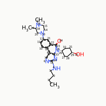 CCCCNc1ncc2c3ccc(N4CCN(C)C(C)C4)cc3c(=O)n([C@H]3CC[C@H](O)CC3)c2n1